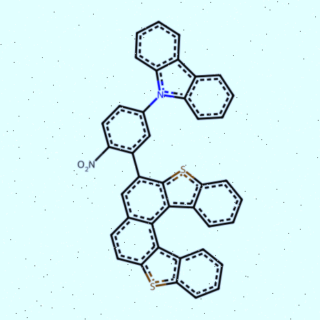 O=[N+]([O-])c1ccc(-n2c3ccccc3c3ccccc32)cc1-c1cc2ccc3sc4ccccc4c3c2c2c1sc1ccccc12